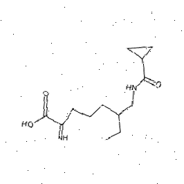 CCC(CCCC(=N)C(=O)O)CNC(=O)C1CC1